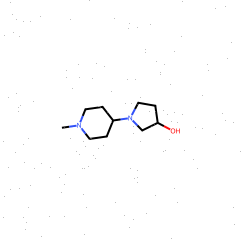 CN1CCC(N2CCC(O)C2)CC1